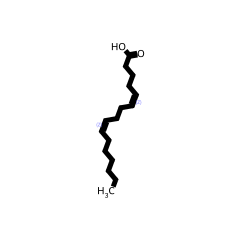 CCCCCC/C=C\CC/C=C\CCCC(=O)O